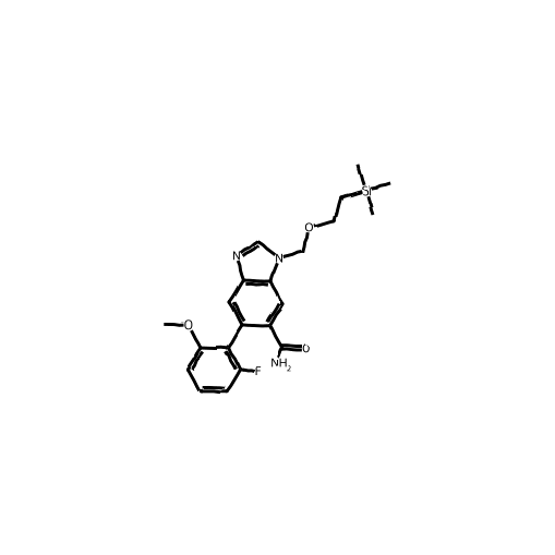 COc1cccc(F)c1-c1cc2ncn(COCC[Si](C)(C)C)c2cc1C(N)=O